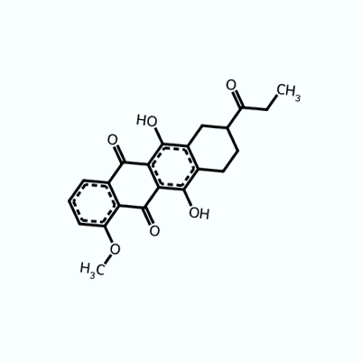 CCC(=O)C1CCc2c(O)c3c(c(O)c2C1)C(=O)c1cccc(OC)c1C3=O